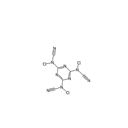 N#CN(Cl)c1nc(N(Cl)C#N)nc(N(Cl)C#N)n1